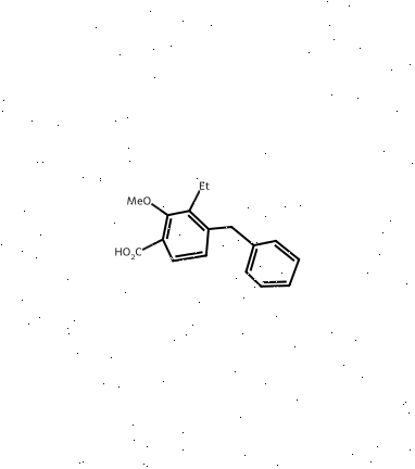 CCc1c(Cc2ccccc2)ccc(C(=O)O)c1OC